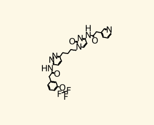 O=C(Cc1cccc(OC(F)(F)F)c1)Nc1ccc(CCCCn2ccc(NC(=O)Cc3cccnc3)nc2=O)nn1